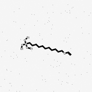 C=COCCCCCCCCCCC[Si](OCC)(OCC)OCC